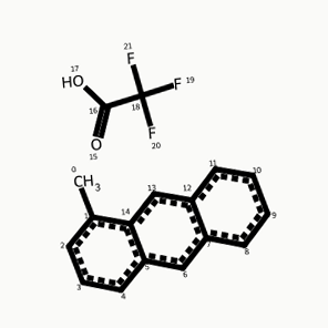 Cc1cccc2cc3ccccc3cc12.O=C(O)C(F)(F)F